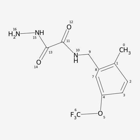 Cc1ccc(OC(F)(F)F)cc1CNC(=O)C(=O)NN